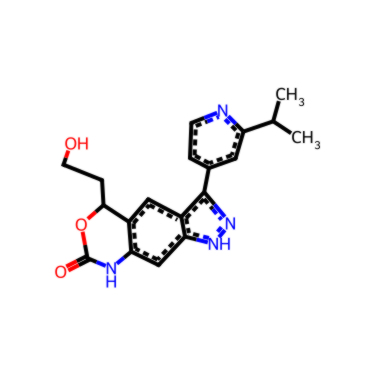 CC(C)c1cc(-c2n[nH]c3cc4c(cc23)C(CCO)OC(=O)N4)ccn1